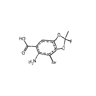 CC1(F)Oc2cc(C(=O)O)c(N)c(Br)c2O1